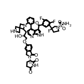 NS(=O)(=O)N1CCC(F)(c2cc(C(=O)c3c[nH]c4nccc(-c5ccccc5N5CC6(CNC6)C5C[C@@H](O)COc5ccc6c(c5)CN([C@H]5CCC(=O)NC5=O)C6=O)c34)c(F)cc2F)C1